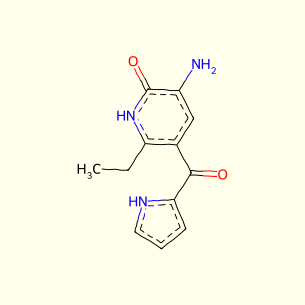 CCc1[nH]c(=O)c(N)cc1C(=O)c1ccc[nH]1